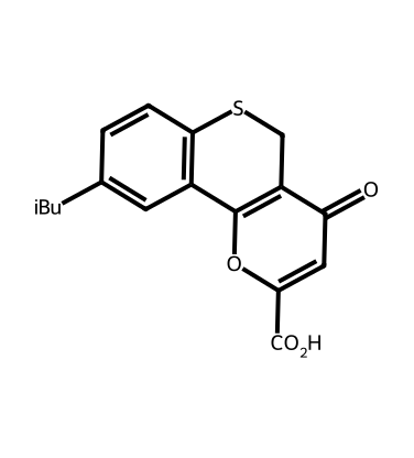 CCC(C)c1ccc2c(c1)-c1oc(C(=O)O)cc(=O)c1CS2